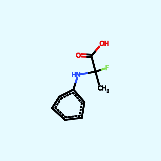 CC(F)(Nc1ccccc1)C(=O)O